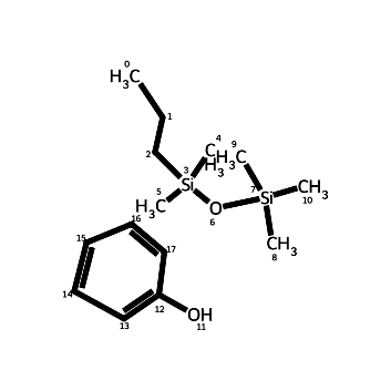 CCC[Si](C)(C)O[Si](C)(C)C.Oc1ccccc1